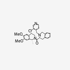 COc1cc2c(cc1OC)[C@@H](C)N(C(=O)C1Cc3ccccc3CN1Cc1ccncc1Cl)CC2